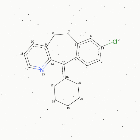 Clc1ccc2c(c1)CCc1cccnc1C2=C1CCCCC1